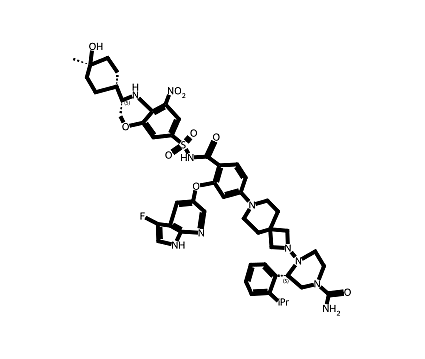 CC(C)c1ccccc1[C@H]1CN(C(N)=O)CCN1N1CC2(CCN(c3ccc(C(=O)NS(=O)(=O)c4cc5c(c([N+](=O)[O-])c4)N[C@@H]([C@H]4CC[C@](C)(O)CC4)CO5)c(Oc4cnc5[nH]cc(F)c5c4)c3)CC2)C1